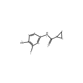 O=C(Nc1ccc(S)c(F)c1)C1CC1